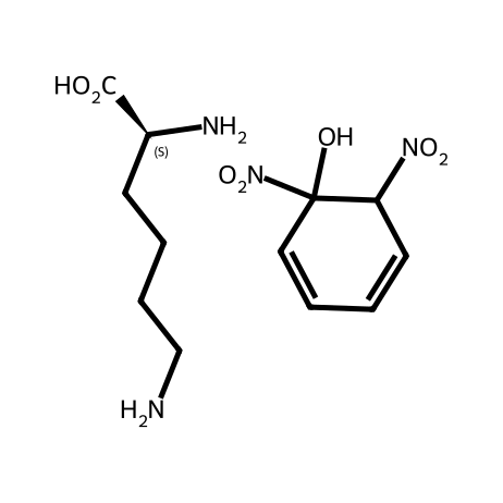 NCCCC[C@H](N)C(=O)O.O=[N+]([O-])C1C=CC=CC1(O)[N+](=O)[O-]